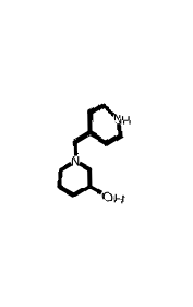 OC1CCCN(CC2CCNCC2)C1